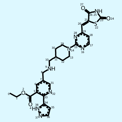 CCOC(=O)c1cc(CNCC2CCN(c3nccc(/C=C4\SC(=O)NC4=O)n3)CC2)cnc1-c1ccn[nH]1